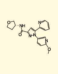 COc1ccc(-n2nc(C(=O)N[C@@H]3CCOC3)cc2-c2ccccn2)cn1